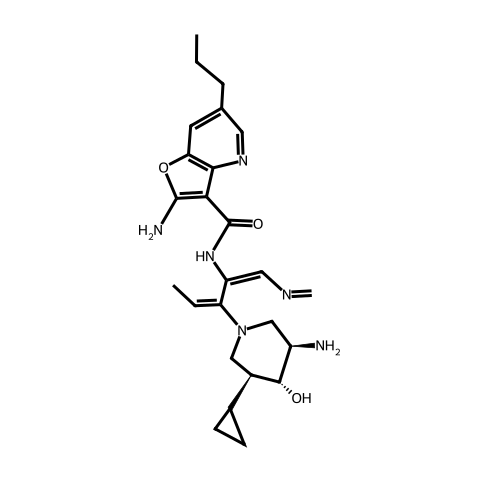 C=N/C=C(NC(=O)c1c(N)oc2cc(CCC)cnc12)\C(=C/C)N1C[C@@H](N)[C@H](O)[C@@H](C2CC2)C1